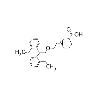 CCc1ccccc1C(=COCCN1CCCC(C(=O)O)C1)c1ccccc1CC